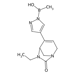 CCN1C(=O)N2CC=C(c3cnn(B(C)O)c3)C1C2